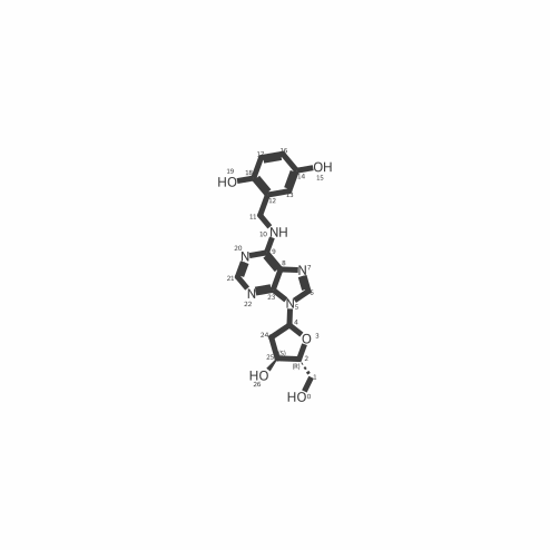 OC[C@H]1OC(n2cnc3c(NCc4cc(O)ccc4O)ncnc32)C[C@@H]1O